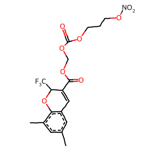 Cc1cc(C)c2c(c1)C=C(C(=O)OCOC(=O)OCCCO[N+](=O)[O-])C(C(F)(F)F)O2